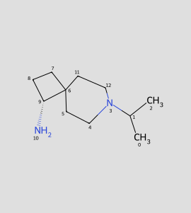 CC(C)N1CCC2(CC[C@H]2N)CC1